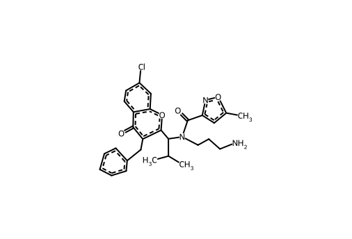 Cc1cc(C(=O)N(CCCN)C(c2oc3cc(Cl)ccc3c(=O)c2Cc2ccccc2)C(C)C)no1